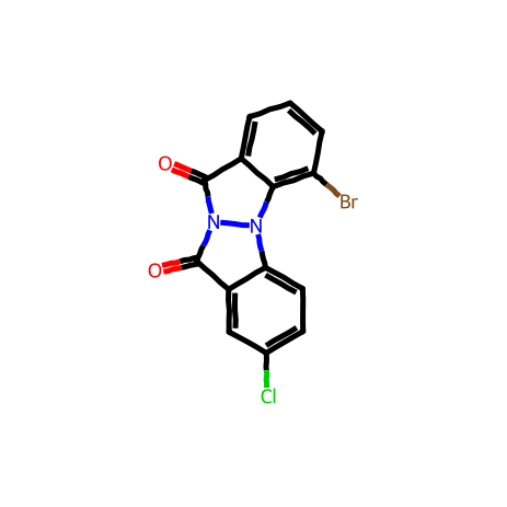 O=c1c2cc(Cl)ccc2n2c3c(Br)cccc3c(=O)n12